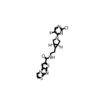 O=C(NCCC1[C@H]2CN(c3nc(Cl)ncc3F)C[C@@H]12)c1cc2c(nc3sccn32)s1